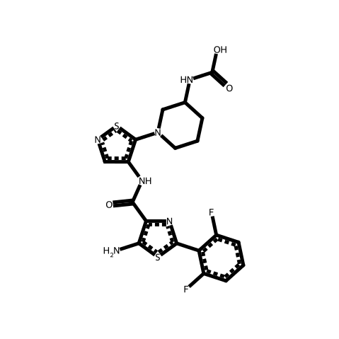 Nc1sc(-c2c(F)cccc2F)nc1C(=O)Nc1cnsc1N1CCCC(NC(=O)O)C1